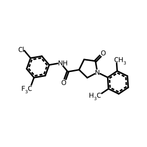 Cc1cccc(C)c1N1CC(C(=O)Nc2cc(Cl)cc(C(F)(F)F)c2)CC1=O